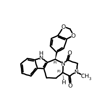 CN1CC(=O)N2[C@H](c3ccc4c(c3)OCO4)c3[nH]c4ccccc4c3CC[C@@H]2C1=O